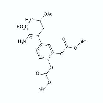 CCCOC(=O)Oc1ccc(C(CC(C)OC(C)=O)[C@H](N)C(=O)O)cc1OC(=O)OCCC